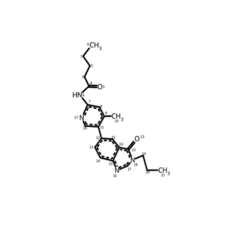 CCCCC(=O)Nc1cc(C)c(-c2ccc3ncn(CCC)c(=O)c3c2)cn1